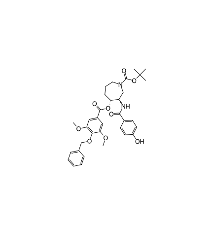 COc1cc(C(=O)O[C@@H]2CCCN(C(=O)OC(C)(C)C)C[C@H]2NC(=O)c2ccc(O)cc2)cc(OC)c1OCc1ccccc1